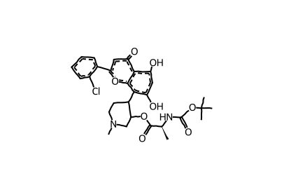 C[C@H](NC(=O)OC(C)(C)C)C(=O)OC1CN(C)CCC1c1c(O)cc(O)c2c(=O)cc(-c3ccccc3Cl)oc12